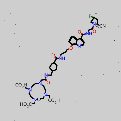 N#C[C@@H]1CC(F)(F)CN1C(=O)CNC(=O)c1ccnc2c(OCCCNC(=O)C3CCC(CNC(=O)CN4CCN(CC(=O)O)CCN(CC(=O)O)CCN(CC(=O)O)CC4)CC3)cccc12